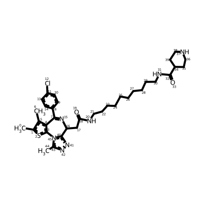 Cc1sc2c(c1C)C(c1ccc(Cl)cc1)=NC(CC(=O)NCCCCCCCCCCNC(=O)C1CCNCC1)c1nnc(C)n1-2